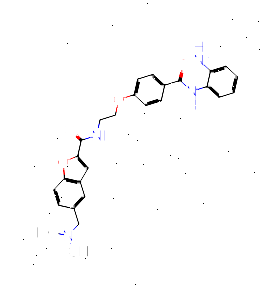 CN(C)Cc1ccc2oc(C(=O)NCCOc3ccc(C(=O)Nc4ccccc4N)cc3)cc2c1